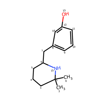 CC1(C)CCCC(Cc2cccc(O)c2)N1